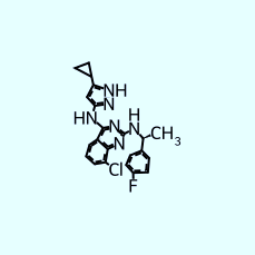 C[C@H](Nc1nc(Nc2cc(C3CC3)[nH]n2)c2cccc(Cl)c2n1)c1ccc(F)cc1